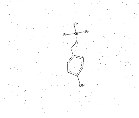 CC(C)[Si](OCc1ccc(O)cc1)(C(C)C)C(C)C